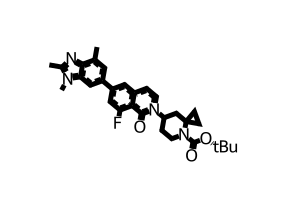 Cc1cc(-c2cc(F)c3c(=O)n(C4CCN(C(=O)OC(C)(C)C)C5(CC5)C4)ccc3c2)cc2c1nc(C)n2C